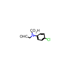 O=CCN(C(=O)O)c1ccc(Cl)cc1